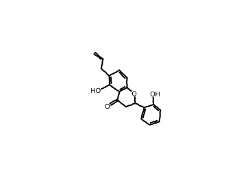 C=CCc1ccc2c(c1O)C(=O)CC(c1ccccc1O)O2